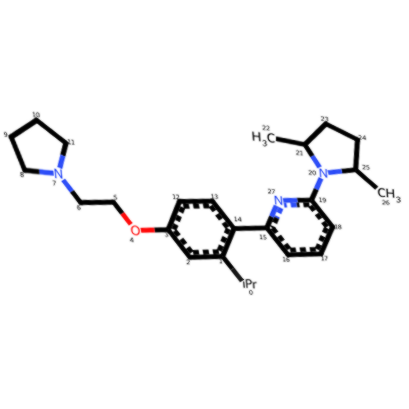 CC(C)c1cc(OCCN2CCCC2)ccc1-c1cccc(N2C(C)CCC2C)n1